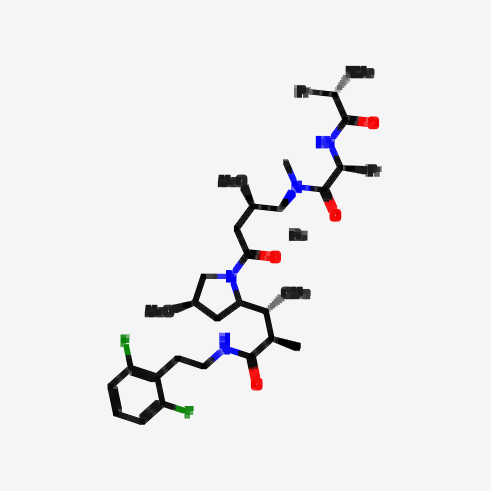 CC[C@H](C)[C@@H]([C@@H](CC(=O)N1C[C@H](OC)CC1[C@H](OC)[C@@H](C)C(=O)NCCc1c(F)cccc1F)OC)N(C)C(=O)[C@@H](NC(=O)[C@@H](NC)C(C)C)C(C)C